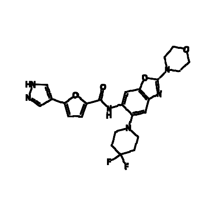 O=C(Nc1cc2oc(N3CCOCC3)nc2cc1N1CCC(F)(F)CC1)c1ccc(-c2cn[nH]c2)o1